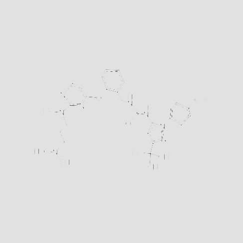 Cc1ccc(-n2nc(C(C)(C)C)cc2NC(=O)NCc2ccccc2Oc2ccnc(N(C)CCCN(C)C)n2)cc1